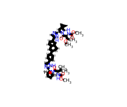 COC(=O)N[C@H](C(=O)N1[C@@H]2CC[C@@H](C2)[C@H]1c1ncc(-c2ccc(-c3ccc4cc(-c5cnc([C@@H]6CC7(CC7)CN6C(=O)[C@@H](NC(=O)OC)C(C)OC)[nH]5)ccc4c3)cc2)[nH]1)C(C)C